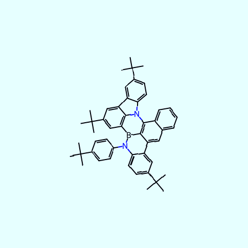 CC(C)(C)c1ccc(N2B3c4c(cc5ccccc5c4-n4c5ccc(C(C)(C)C)cc5c5cc(C(C)(C)C)cc3c54)-c3cc(C(C)(C)C)ccc32)cc1